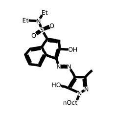 CCCCCCCCn1nc(C)c(N=Nc2c(O)cc(S(=O)(=O)N(CC)CC)c3ccccc23)c1O